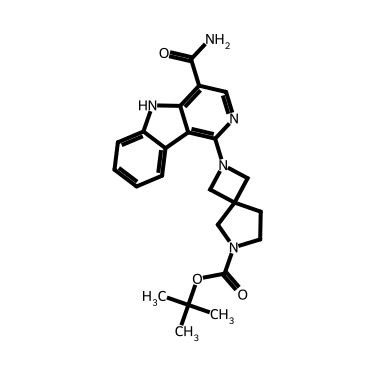 CC(C)(C)OC(=O)N1CCC2(C1)CN(c1ncc(C(N)=O)c3[nH]c4ccccc4c13)C2